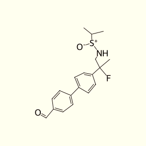 CC(C)[S+]([O-])NCC(C)(F)c1ccc(-c2ccc(C=O)cc2)cc1